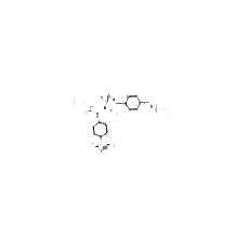 CS(=O)(=O)c1ccc(C(C(=O)O)C2=NNC(c3ccc(CN)cc3)C2)cc1